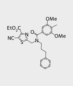 CCOC(=O)c1nc(CN(CCCc2ccccc2)C(=O)c2cc(OC)c(C)c(OC)c2)sc1C#N